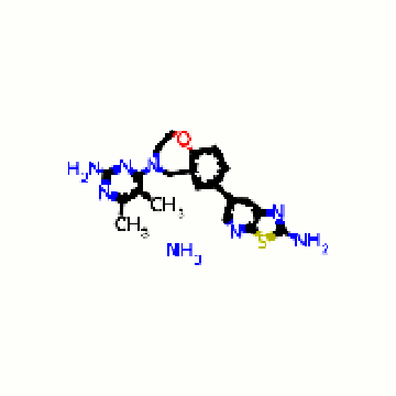 Cc1nc(N)nc(N2CCOc3ccc(-c4cnc5sc(N)nc5c4)cc3C2)c1C.N